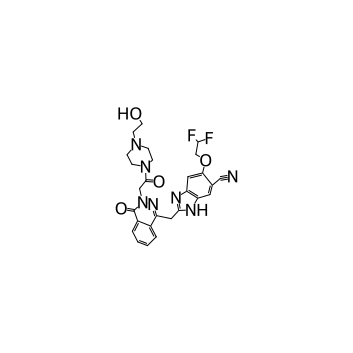 N#Cc1cc2[nH]c(Cc3nn(CC(=O)N4CCN(CCO)CC4)c(=O)c4ccccc34)nc2cc1OCC(F)F